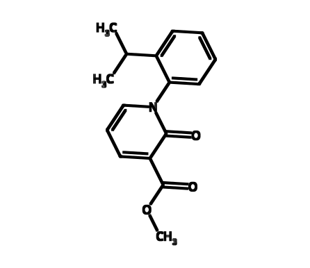 COC(=O)c1cccn(-c2ccccc2C(C)C)c1=O